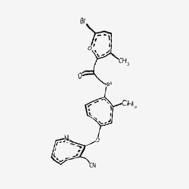 Cc1cc(Oc2ncccc2C#N)ccc1NC(=O)c1oc(Br)cc1C